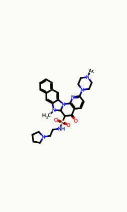 CC(=O)N1CCN(c2ccc3c(n2)N2c4cc5ccccc5cc4N(C)C2C(S(=O)(=O)NCCN2CCCC2)C3=O)CC1